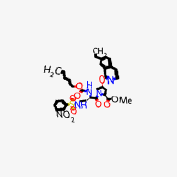 C=CCCCOC(=O)N[C@@H](CCNS(=O)(=O)c1ccccc1[N+](=O)[O-])C(=O)N1C[C@H](Oc2nccc3ccc(C=C)cc23)C[C@H]1C(=O)OC